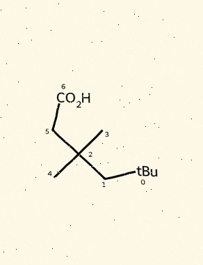 CC(C)(C)CC(C)(C)CC(=O)O